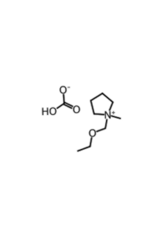 CCOC[N+]1(C)CCCC1.O=C([O-])O